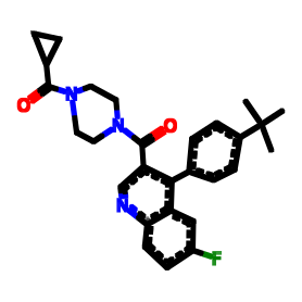 CC(C)(C)c1ccc(-c2c(C(=O)N3CCN(C(=O)C4CC4)CC3)cnc3ccc(F)cc23)cc1